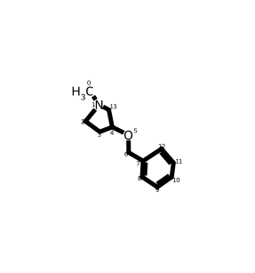 CN1CCC(OCc2ccccc2)C1